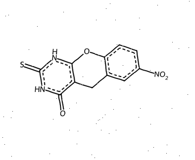 O=c1[nH]c(=S)[nH]c2c1Cc1cc([N+](=O)[O-])ccc1O2